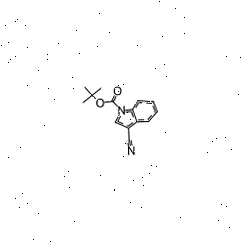 CC(C)(C)OC(=O)n1cc(C#N)c2ccccc21